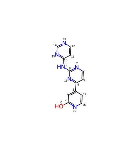 Oc1cc(-c2ccnc(Nc3ccncn3)n2)ccn1